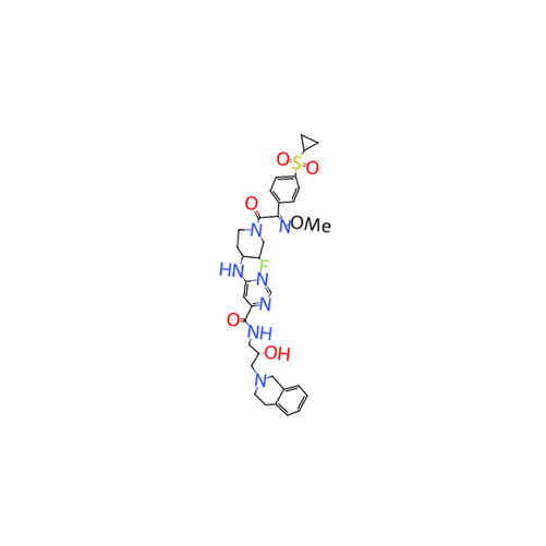 CON=C(C(=O)N1CCC(Nc2cc(C(=O)NC[C@H](O)CN3CCc4ccccc4C3)ncn2)C(F)C1)c1ccc(S(=O)(=O)C2CC2)cc1